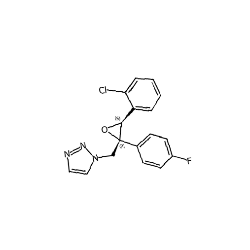 Fc1ccc([C@]2(Cn3ccnn3)O[C@H]2c2ccccc2Cl)cc1